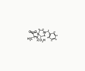 CC1=C(C(=O)O)C2(CCN(Cc3ccccc3)CC2)OC1=O